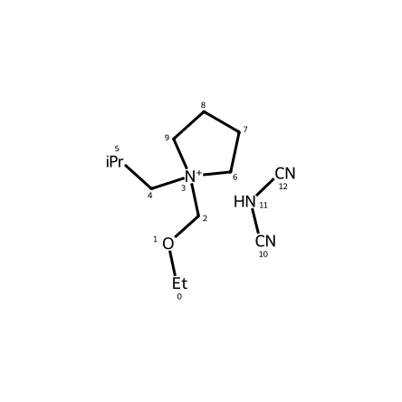 CCOC[N+]1(CC(C)C)CCCC1.N#CNC#N